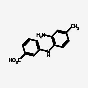 Cc1ccc(Nc2cccc(C(=O)O)c2)c(N)c1